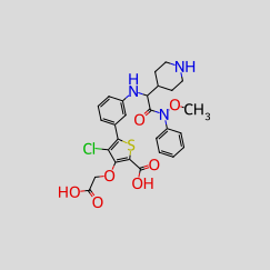 CON(C(=O)C(Nc1cccc(-c2sc(C(=O)O)c(OCC(=O)O)c2Cl)c1)C1CCNCC1)c1ccccc1